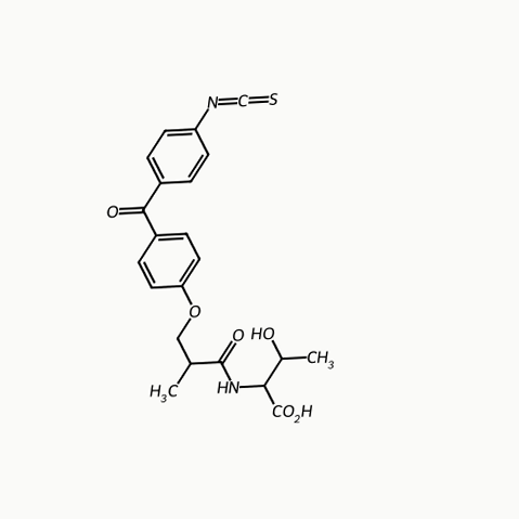 CC(COc1ccc(C(=O)c2ccc(N=C=S)cc2)cc1)C(=O)NC(C(=O)O)C(C)O